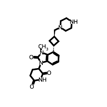 Cn1c(=O)n(C2CCC(=O)NC2=O)c2cccc([C@H]3C[C@H](CN4CCNCC4)C3)c21